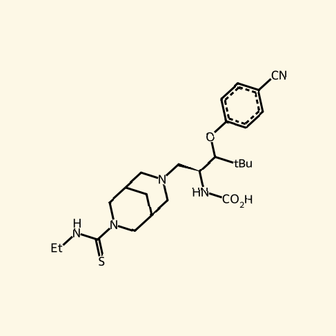 CCNC(=S)N1CC2CC(CN(C[C@H](NC(=O)O)C(Oc3ccc(C#N)cc3)C(C)(C)C)C2)C1